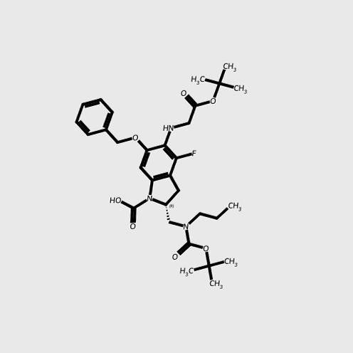 CCCN(C[C@H]1Cc2c(cc(OCc3ccccc3)c(NCC(=O)OC(C)(C)C)c2F)N1C(=O)O)C(=O)OC(C)(C)C